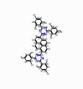 Cc1cc(C)c(-c2nc(-c3c(C)cc(C)cc3C)nc(-c3ccc4ccc5c(-c6nc(-c7c(C)cc(C)cc7C)nc(-c7c(C)cc(C)cc7C)n6)ccc6ccc3c4c65)n2)c(C)c1